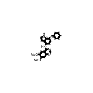 COc1cc2ncnc(Nc3ccc(Oc4ccccc4)c4[nH]ccc34)c2cc1OC